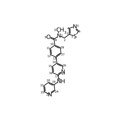 CN(Cc1cncs1)C(=O)c1ccc(-c2ccc(Nc3cccnc3)nc2)cc1